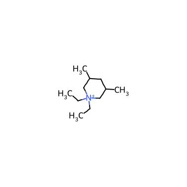 CC[N+]1(CC)CC(C)CC(C)C1